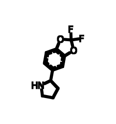 FC1(F)Oc2ccc(C3CCCN3)cc2O1